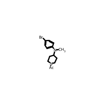 CC(=O)N1CCC(N(C)c2ccc(Br)cc2)CC1